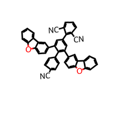 N#Cc1ccc(-c2c(-c3ccc4oc5ccccc5c4c3)cc(-c3c(C#N)cccc3C#N)cc2-c2ccc3oc4ccccc4c3c2)cc1